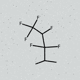 CC(C)C(F)(F)[C](F)C(F)(F)F